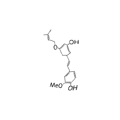 COc1cc(C=CC2C=C(O)C=C(OCC=C(C)C)C2)ccc1O